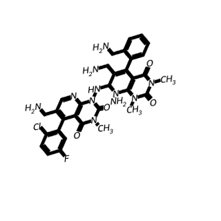 Cn1c2c(c(=O)n(C)c1=O)C(c1ccccc1CN)=C(CN)C(Nn1c(=O)n(C)c(=O)c3c(-c4cc(F)ccc4Cl)c(CN)cnc31)N2N